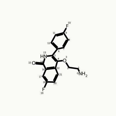 NCCOc1c(-c2ccc(F)cc2)[nH]c(=O)c2cc(F)ccc12